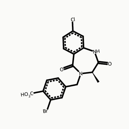 C[C@@H]1C(=O)Nc2cc(Cl)ccc2C(=O)N1Cc1ccc(C(=O)O)c(Br)c1